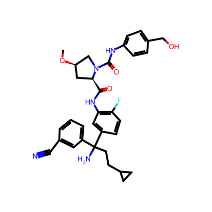 CO[C@@H]1C[C@H](C(=O)Nc2cc(C(N)(CCC3CC3)c3cccc(C#N)c3)ccc2F)N(C(=O)Nc2ccc(CO)cc2)C1